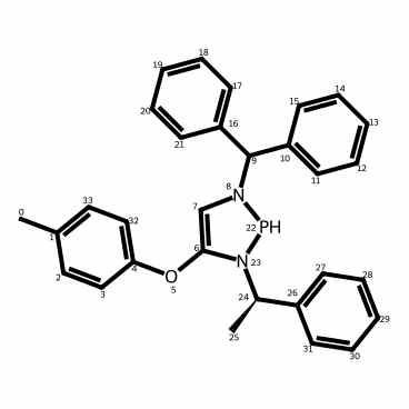 Cc1ccc(OC2=CN(C(c3ccccc3)c3ccccc3)PN2[C@H](C)c2ccccc2)cc1